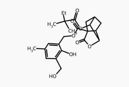 CCC(C)(C)C(=O)OC1C2CC3C1OC(=O)C3(C(=O)OCc1cc(C)cc(CO)c1O)C2